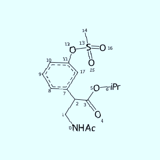 CC(=O)NCC(C(=O)OC(C)C)c1cccc(OS(C)(=O)=O)c1